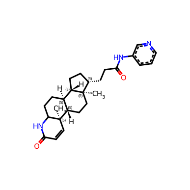 C[C@]12CC[C@H]3[C@@H](CCC4NC(=O)C=C[C@@]43C)[C@@H]1CC[C@@H]2CCC(=O)Nc1cccnc1